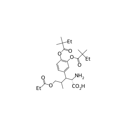 CCC(=O)OCC(C)C(c1ccc(OC(=O)C(C)(C)CC)c(OC(=O)C(C)(C)CC)c1)[C@H](N)C(=O)O